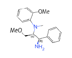 COC[C@H]([C@H](N)c1ccccc1)N(C)c1ccccc1OC